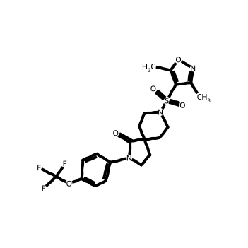 Cc1noc(C)c1S(=O)(=O)N1CCC2(CCN(c3ccc(OC(F)(F)F)cc3)C2=O)CC1